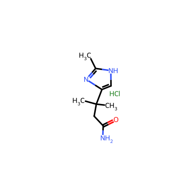 Cc1nc(C(C)(C)CC(N)=O)c[nH]1.Cl